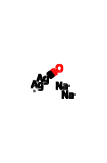 [Ag].[Na].[Na].[O]=[Ag]